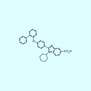 O=C(O)c1ccc2c(c1)nc(-c1ccc(Oc3ccccc3-c3ccccc3)cc1)n2C1CCCCC1